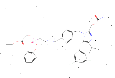 CCOC(=O)[C@H](C)OP(=O)(CCNCc1ccc(Cn2c(COC(N)=O)nc(C(C)C)c2Sc2cc(Cl)cc(Cl)c2)cc1)Oc1ccccc1